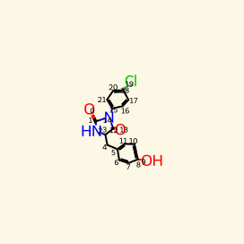 O=C1NC(Cc2ccc(O)cc2)C(=O)N1c1ccc(Cl)cc1